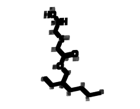 CCCCC(CC)COC(=O)CSCNO